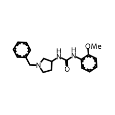 COc1ccccc1NC(=O)NC1CCN(Cc2ccccc2)C1